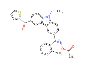 CCn1c2ccc(C(=O)c3cccs3)cc2c2cc(/C(=N/OC(C)=O)c3ccccc3C)ccc21